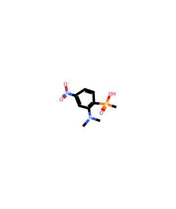 CN(C)c1cc([N+](=O)[O-])ccc1P(C)(=O)O